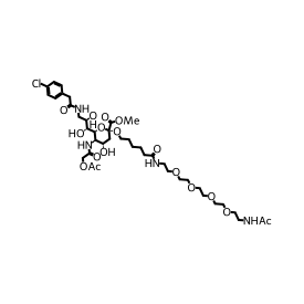 COC(=O)[C@@]1(OCCCCCC(=O)NCCOCCOCCOCCOCCNC(C)=O)C[C@H](O)[C@@H](NC(=O)COC(C)=O)[C@H]([C@H](O)[C@H](O)CNC(=O)Cc2ccc(Cl)cc2)O1